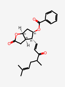 CC(C)=CCC(C)C(=O)C=C[C@@H]1[C@H]2CC(=O)O[C@H]2C[C@H]1OC(=O)c1ccccc1